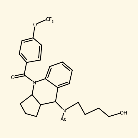 CC(=O)N(CCCCO)C1c2ccccc2N(C(=O)c2ccc(OC(F)(F)F)cc2)C2CCCC12